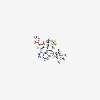 COC(=O)c1sc(-n2cnc3cnc(CO[Si](C)(C)C(C)(C)C)cc32)cc1OC(C)c1ccccc1C(F)(F)F